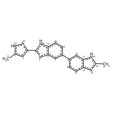 Cc1cc(-c2nc3cc(-c4ccc5nc(C)[nH]c5c4)ccc3[nH]2)n[nH]1